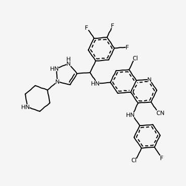 N#Cc1cnc2c(Cl)cc(NC(C3=CN(C4CCNCC4)NN3)c3cc(F)c(F)c(F)c3)cc2c1Nc1ccc(F)c(Cl)c1